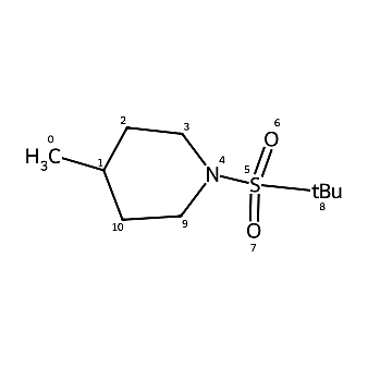 CC1CCN(S(=O)(=O)C(C)(C)C)CC1